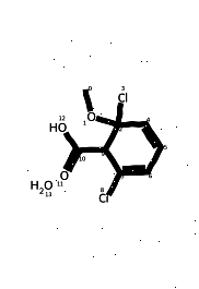 COC1(Cl)C=CC=C(Cl)C1C(=O)O.O